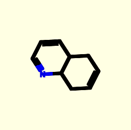 C1=CC2CC=CCC2N=C1